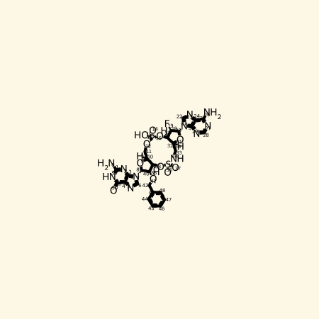 Nc1nc2c(ncn2[C@@H]2O[C@@H]3COP(=O)(O)O[C@H]4[C@@H](F)[C@H](n5cnc6c(N)ncnc65)O[C@@H]4CNS(=O)(=O)O[C@H]3[C@H]2OCc2ccccc2)c(=O)[nH]1